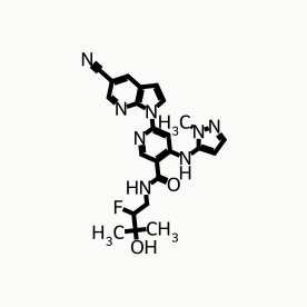 Cn1nccc1Nc1cc(-n2ccc3cc(C#N)cnc32)ncc1C(=O)NCC(F)C(C)(C)O